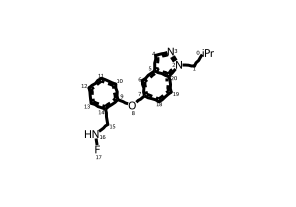 CC(C)Cn1ncc2cc(Oc3ccccc3CNF)ccc21